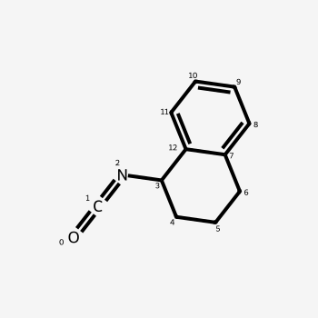 O=C=NC1CCCc2ccccc21